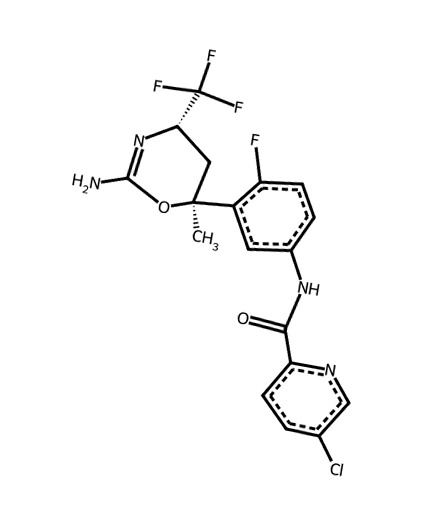 C[C@@]1(c2cc(NC(=O)c3ccc(Cl)cn3)ccc2F)C[C@@H](C(F)(F)F)N=C(N)O1